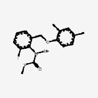 CSC(=O)N(O)c1c(I)cccc1COc1ccc(C)cc1C